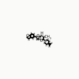 C[C@@H](Nc1nnc(-c2ccc3c(c2)CCO3)o1)C(=O)N1CCC2(CC1)CC2